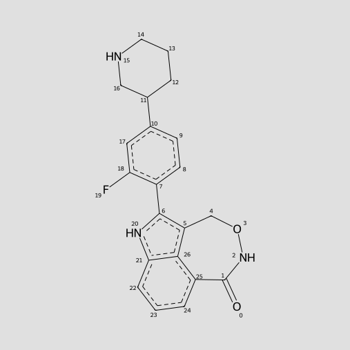 O=C1NOCc2c(-c3ccc(C4CCCNC4)cc3F)[nH]c3cccc1c23